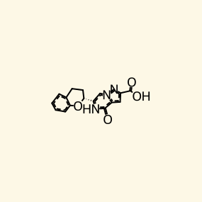 O=C(O)c1cc2c(=O)[nH]c([C@H]3CCc4ccccc4O3)cn2n1